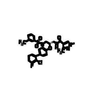 Cn1cc(C(=O)NC[C@H]2CN(S(=O)(=O)c3cccc(C(F)(F)F)c3)c3cc(-c4cccc(F)c4Cl)ccc3O2)c(C(F)(F)F)n1